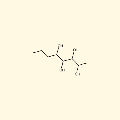 CCCC(O)C(O)C(O)C(C)O